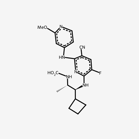 COc1cc(Nc2nc(N[C@@H](C3CCC3)[C@H](C)NC(=O)O)c(F)cc2C#N)ccn1